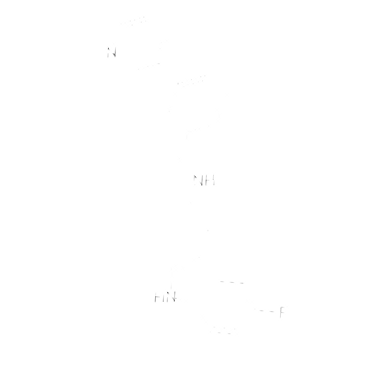 Fc1ccc2[nH]cc(CCNCc3cccc(-c4cccnc4)c3)c2c1